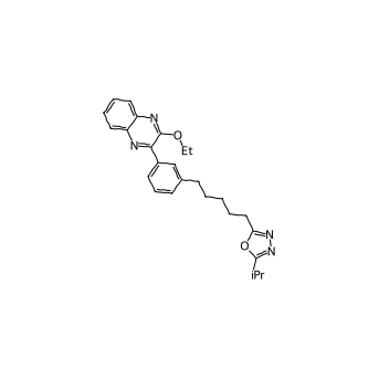 CCOc1nc2ccccc2nc1-c1cccc(CCCCCc2nnc(C(C)C)o2)c1